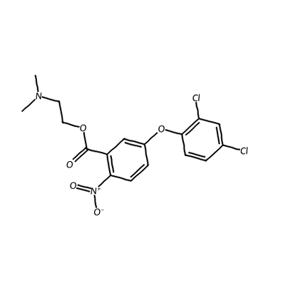 CN(C)CCOC(=O)c1cc(Oc2ccc(Cl)cc2Cl)ccc1[N+](=O)[O-]